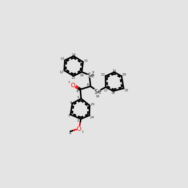 COc1ccc(C(=O)C([Se]c2ccccc2)[Se]c2ccccc2)cc1